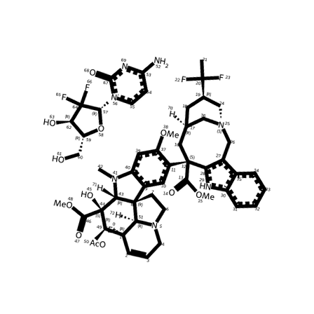 CC[C@]12C=CCN3CC[C@@]4(c5cc([C@@]6(C(=O)OC)C[C@H]7C[C@@H](C(C)(F)F)C[N@](Cc8c6[nH]c6ccccc86)C7)c(OC)cc5N(C)[C@H]4[C@@](O)(C(=O)OC)[C@@H]1OC(C)=O)[C@@H]32.Nc1ccn([C@@H]2O[C@H](CO)[C@@H](O)C2(F)F)c(=O)n1